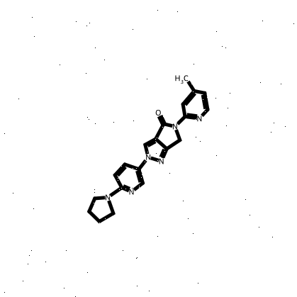 Cc1ccnc(N2Cc3nn(-c4ccc(N5CCCC5)nc4)cc3C2=O)c1